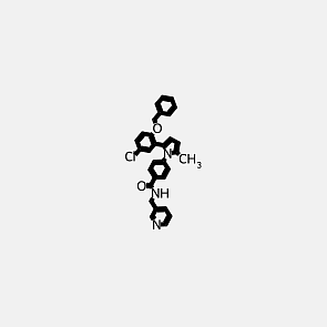 Cc1ccc(-c2cc(Cl)ccc2OCc2ccccc2)n1-c1ccc(C(=O)NCc2cccnc2)cc1